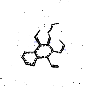 C=Cc1c(/C=C\C)c(=C/C=C\C)/c(=C\C)c2ccccc12